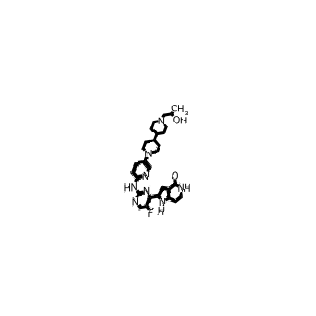 CC(O)CN1CCC(C2CCN(c3ccc(Nc4ncc(F)c(-c5cc6c([nH]5)CCNC6=O)n4)nc3)CC2)CC1